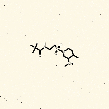 CNC1CN(S(=O)(=O)CCNC(=O)C(C)(C)C)CCC1C